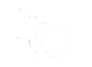 COC(=O)CO/N=C1/C=C/CC/C=C/CCOC(=O)c2c(C)cc(C)c(Cl)c2C1